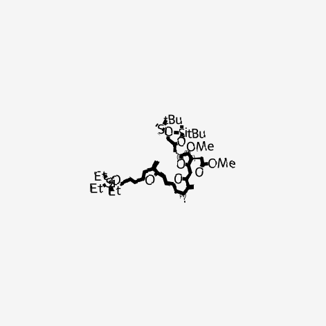 C=C1CC(CCCO[Si](CC)(CC)CC)OC1CCC1C[C@@H](C)C(=C)C(CC2O[C@H](CC(CO[Si](C)(C)C(C)(C)C)O[Si](C)(C)C(C)(C)C)[C@H](OC)[C@H]2CC(=O)OC)O1